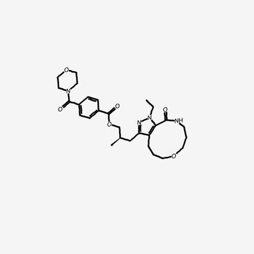 CCn1nc(C[C@@H](C)COC(=O)c2ccc(C(=O)N3CCOCC3)cc2)c2c1C(=O)NCCCOCCC2